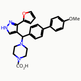 COc1ccc(-c2ccc(C(c3c[nH]nc3-c3ccco3)N3CCN(C(=O)O)CC3)cc2)cc1